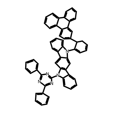 C1=CCC(c2ccc3c4ccccc4c4ccccc4c3c2)C(n2c3ccccc3c3cc4c(cc32)c2ccccc2n4-c2nc(-c3ccccc3)nc(-c3ccccc3)n2)=C1